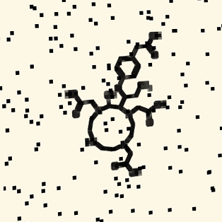 CCC(Oc1ccc(CC(=O)O)cc1)C1C(O)N(CC(=O)O)CCNCCN(CC(=O)O)CCN1CC(=O)O